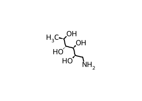 C[C@@H](O)[C@@H](O)[C@@H](O)[C@H](O)CN